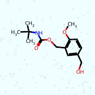 COc1ccc(CO)cc1COC(=O)NC(C)(C)C